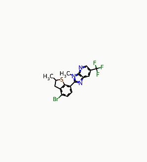 CC1Cc2c(Br)ccc(-c3nc4cc(C(F)(F)F)cnc4n3C)c2S1